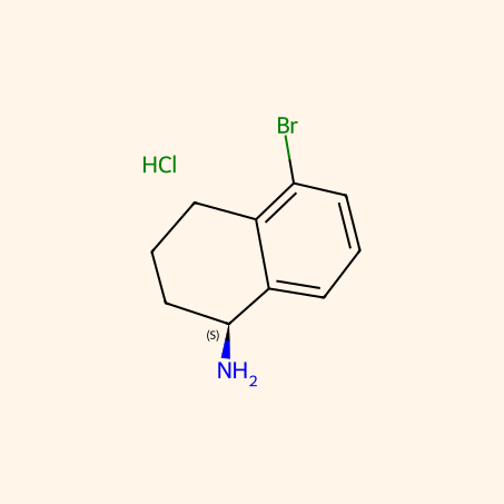 Cl.N[C@H]1CCCc2c(Br)cccc21